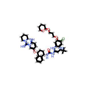 CC(C)(C)C(=N)/C=C(/NC(=O)N[C@H]1CC[C@@H](Oc2ccc(=N)n(C(=N)N3CCCCC3)c2)c2ccccc21)Nc1ccc(Cl)c(OCCCOC2CCCCO2)c1